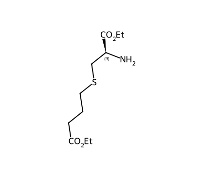 CCOC(=O)CCCSC[C@H](N)C(=O)OCC